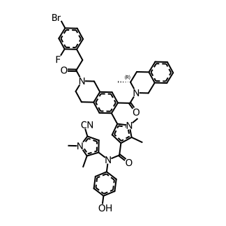 Cc1c(N(C(=O)c2cc(-c3cc4c(cc3C(=O)N3Cc5ccccc5C[C@H]3C)CN(C(=O)Cc3ccc(Br)cc3F)CC4)n(C)c2C)c2ccc(O)cc2)cc(C#N)n1C